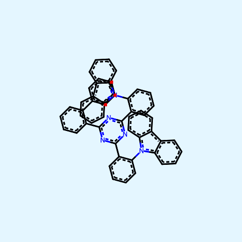 c1ccc(-c2ccccc2-c2nc(-c3ccccc3-n3c4ccccc4c4ccccc43)nc(-c3ccccc3-n3c4ccccc4c4ccccc43)n2)cc1